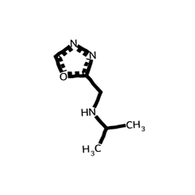 CC(C)NCc1nnco1